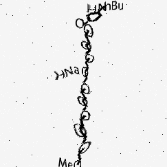 CCCCNc1ccc(C(=O)OCCOCCOCCOCCOCCOCCOCCOCCOCCOC)cc1.[NaH]